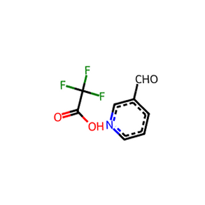 O=C(O)C(F)(F)F.O=Cc1cccnc1